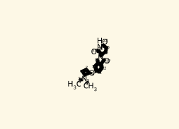 CCN(CC)[C@@H]1CC[C@H]1Oc1ccc2c(c1)CN(C1CCC(=O)NC1=O)C2=O